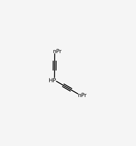 CCCC#CPC#CCCC